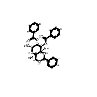 O=C(O[C@@H]1[C@@H](OC(=O)c2ccccc2)[C@@H](O)O[C@@H]2COC(c3ccccc3)O[C@H]12)c1ccccc1